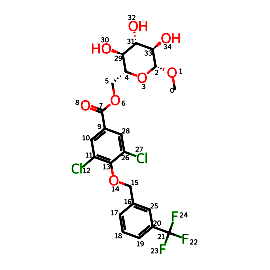 CO[C@@H]1O[C@H](COC(=O)c2cc(Cl)c(OCc3cccc(C(F)(F)F)c3)c(Cl)c2)[C@@H](O)[C@H](O)[C@H]1O